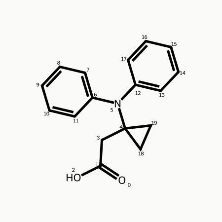 O=C(O)CC1(N(c2ccccc2)c2ccccc2)CC1